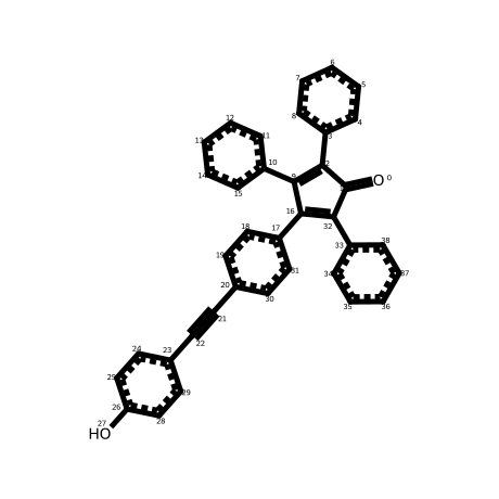 O=C1C(c2ccccc2)=C(c2ccccc2)C(c2ccc(C#Cc3ccc(O)cc3)cc2)=C1c1ccccc1